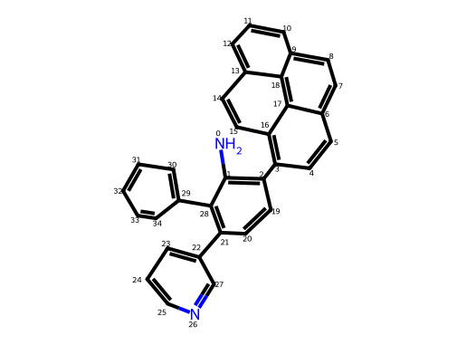 Nc1c(-c2ccc3ccc4cccc5ccc2c3c45)ccc(-c2cccnc2)c1-c1ccccc1